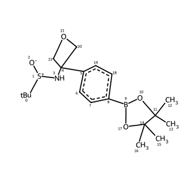 CC(C)(C)[S+]([O-])NC1(c2ccc(B3OC(C)(C)C(C)(C)O3)cc2)COC1